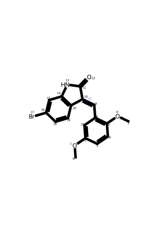 COc1ccc(OC)c(/C=C2/C(=O)Nc3cc(Br)ccc32)c1